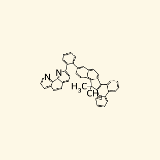 CC1(C)c2c(ccc3cc(-c4ccccc4-c4ccc5ccc6cccnc6c5n4)ccc23)-c2c1c1ccccc1c1ccccc21